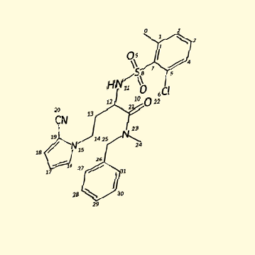 Cc1cccc(Cl)c1S(=O)(=O)NC(CCn1cccc1C#N)C(=O)N(C)Cc1ccccc1